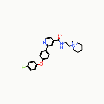 C[N+]1(CCNC(=O)c2ccnc(-c3ccc(Oc4ccc(F)cc4)cc3)c2)CCCCC1